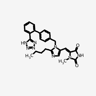 CCCCc1ncc(/C=C2/C(=O)NC(=O)N2C)n1Cc1ccc(-c2ccccc2-c2nnn[nH]2)cc1